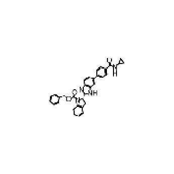 O=C(NC1CC1)c1ccc(-c2ccc3nc([C@@H]4CC5=C(CCC=C5)N4C(=O)OCc4ccccc4)[nH]c3c2)cc1